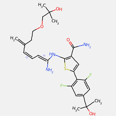 C=C(/C=C\C=C(/N)Nc1sc(-c2c(F)cc(C(C)(C)O)cc2F)cc1C(N)=O)CCOCC(C)(C)O